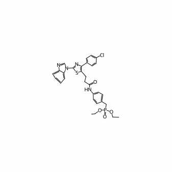 CCOP(=O)(Cc1ccc(NC(=O)CCc2sc(-n3cnc4ccccc43)nc2-c2ccc(Cl)cc2)cc1)OCC